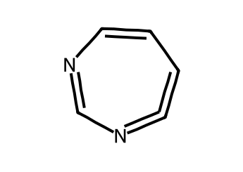 C1=CC=CN=CN=1